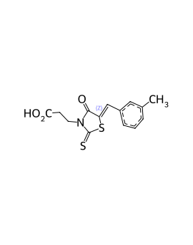 Cc1cccc(/C=C2\SC(=S)N(CCC(=O)O)C2=O)c1